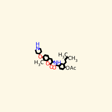 CC(=O)Oc1ccc(C(=O)Nc2cc3ccc(OC4CCNCC4)c(C)c3oc2=O)cc1CC=C(C)C